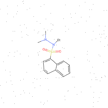 [CH2]CN(N(C)C)S(=O)(=O)c1cccc2ccccc12